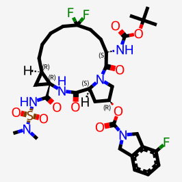 CN(C)S(=O)(=O)NC(=O)[C@@]12C[C@H]1CCCCC(F)(F)CC[C@H](NC(=O)OC(C)(C)C)C(=O)N1C[C@H](OC(=O)N3Cc4cccc(F)c4C3)C[C@H]1C(=O)N2